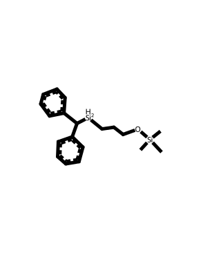 C[Si](C)(C)OCCC[SiH2]C(c1ccccc1)c1ccccc1